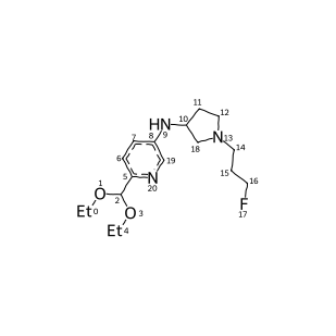 CCOC(OCC)c1ccc(NC2CCN(CCCF)C2)cn1